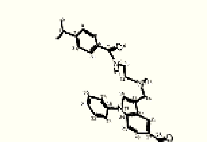 CC(C)c1ccc(C(=O)NCCN(C)Cc2cn(-c3ccccc3)c3ccc(C(=O)O)cc23)cc1